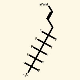 CCCCCC=CCC(F)(F)C(F)(F)C(F)(F)C(F)(F)C(F)(F)C(F)(F)F